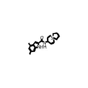 Cc1cc(C)c2cc(C(=O)NC3CC[Si]4(CCCC4)CC3)[nH]c2c1